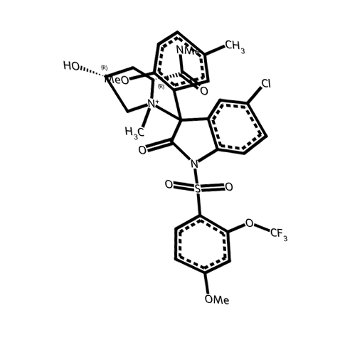 CNC(=O)[C@H]1C[C@@H](O)C[N+]1(C)C1(c2cc(C)ccc2OC)C(=O)N(S(=O)(=O)c2ccc(OC)cc2OC(F)(F)F)c2ccc(Cl)cc21